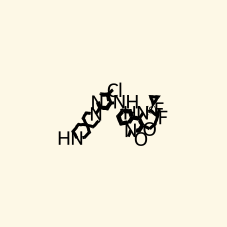 Cn1c(=O)c2c(c3cc(Nc4cc(N5CCC6(CCNCC6)CC5)ncc4Cl)ccc31)N[C@@H](C1CC1)C(F)(F)CO2